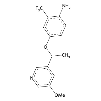 COc1cncc(C(C)Oc2ccc(N)c(C(F)(F)F)c2)c1